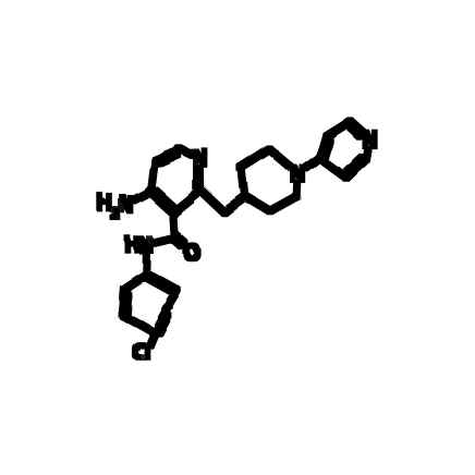 Nc1ccnc(CC2CCN(c3ccncc3)CC2)c1C(=O)Nc1ccc(Cl)cc1